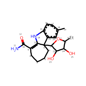 CCC1OC(C23CCCCC(C(N)=O)=C2Nc2ccc(C)cc23)C(O)C1O